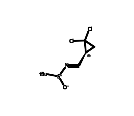 CC(C)(C)[S+]([O-])N=C[C@@H]1CC1(Cl)Cl